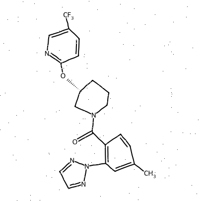 Cc1ccc(C(=O)N2CCC[C@@H](Oc3ccc(C(F)(F)F)cn3)C2)c(-n2nccn2)c1